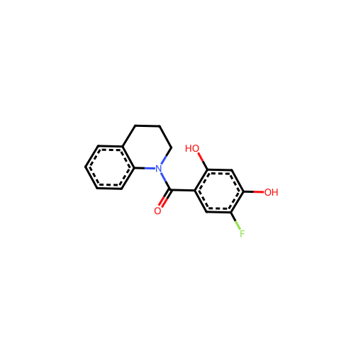 O=C(c1cc(F)c(O)cc1O)N1CCCc2ccccc21